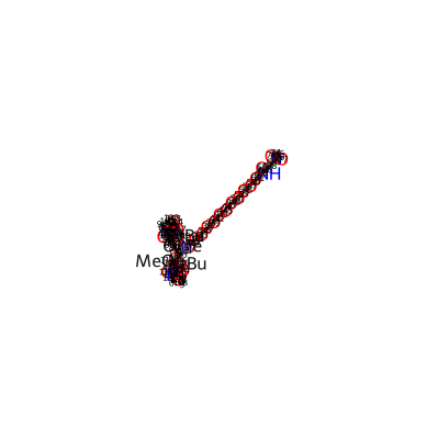 C=C1C[C@H]2C(OC3CCCCO3)N(C(=O)OC(C)(C)C)c3cc(OCc4cc(/C=N/OCCOCCOCCOCCOCCOCCOCCOCCOCCOCCOCCOCCNC(=O)CCCCCN5C(=O)C=CC5=O)cc(COc5cc6c(cc5OC)C(=O)N5CC(=C)C[C@H]5[C@H](OC5CCCCO5)N6C(=O)OC(C)(C)C)c4)c(OC)cc3C(=O)N2C1